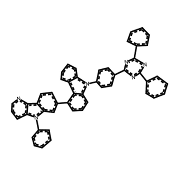 c1ccc(-c2nc(-c3ccccc3)nc(-c3ccc(-n4c5ccccc5c5c(-c6ccc7c8ncccc8n(-c8ccccc8)c7c6)cccc54)cc3)n2)cc1